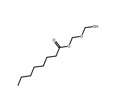 CCCCCCCC(=O)OCOCO